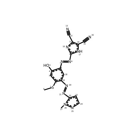 CSc1cc(O)c(/N=N/c2nc(C#N)c(C#N)[nH]2)cc1/N=N/c1ccnn1C